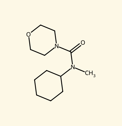 CN(C(=O)N1CCOCC1)C1CCCCC1